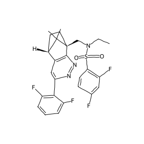 CCN(C[C@@]12CC[C@@H](c3cc(-c4c(F)cccc4F)nnc31)C2(C)C)S(=O)(=O)c1ccc(F)cc1F